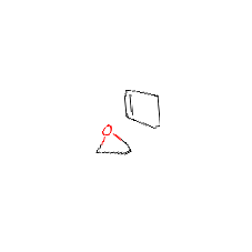 C1=CCC1.C1CO1